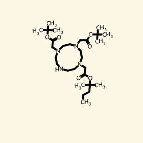 CCCC(C)(C)OC(=O)CN1CCNCCN(CC(=O)OC(C)(C)C)CCN(CC(=O)OC(C)(C)C)CC1